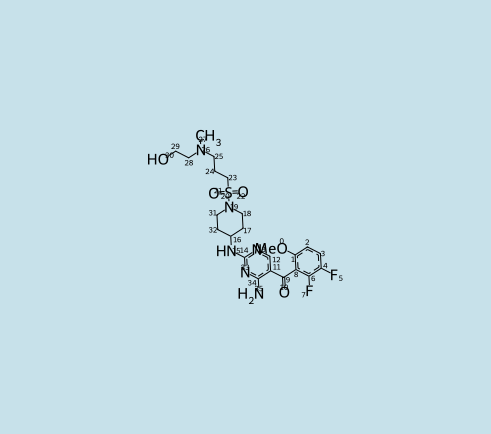 COc1ccc(F)c(F)c1C(=O)c1cnc(NC2CCN(S(=O)(=O)CCCN(C)CCO)CC2)nc1N